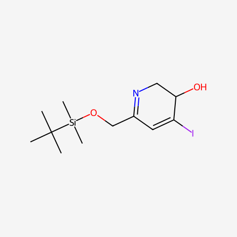 CC(C)(C)[Si](C)(C)OCC1=NCC(O)C(I)=C1